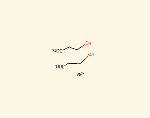 O=C([O-])CCO.O=C([O-])CCO.[Ni+2]